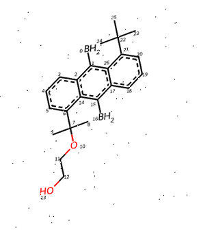 Bc1c2cccc(C(C)(C)OCCO)c2c(B)c2cccc(C(C)(C)C)c12